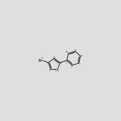 Brc1csc(-c2ccccc2)c1